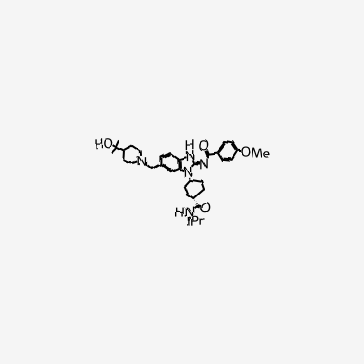 COc1ccc(C(=O)/N=c2\[nH]c3ccc(CN4CCC(C(C)(C)O)CC4)cc3n2[C@H]2CC[C@@H](C(=O)NC(C)C)CC2)cc1